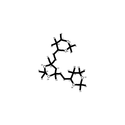 CC1OC(C)(C)OC(CCC2(C)CC(C)(CCC3OC(C)(C)OC(C)(C)C3(C)C)OC(C)(C)O2)C1(C)C